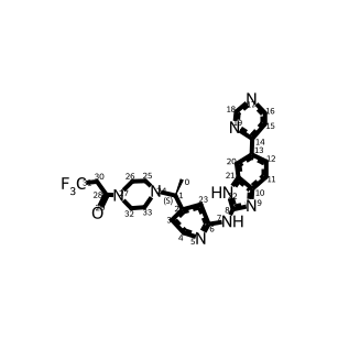 C[C@@H](c1ccnc(Nc2nc3ccc(-c4ccncn4)cc3[nH]2)c1)N1CCN(C(=O)CC(F)(F)F)CC1